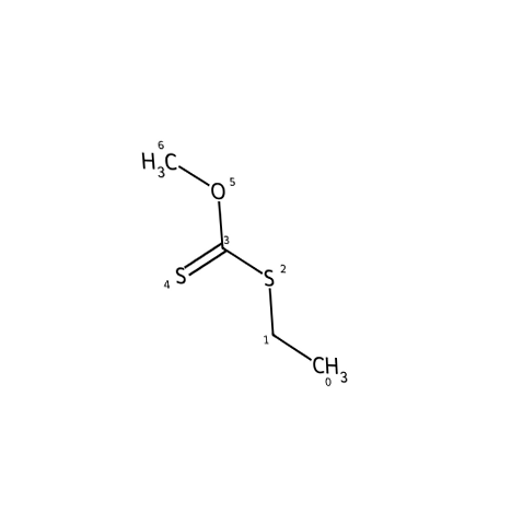 CCSC(=S)OC